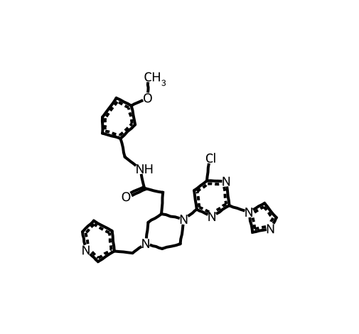 COc1cccc(CNC(=O)CC2CN(Cc3cccnc3)CCN2c2cc(Cl)nc(-n3ccnc3)n2)c1